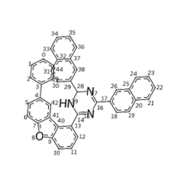 c1ccc(-c2ccc3oc4cccc(C5=NC(c6ccc7ccccc7c6)=NC(c6ccc7ccccc7c6)N5)c4c3c2)cc1